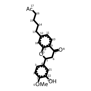 COc1ccc(C2CC(=O)c3ccc(CCCCC(C)=O)cc3O2)cc1O